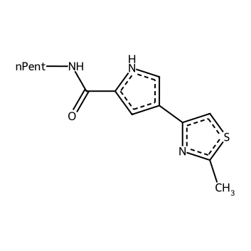 CCCCCNC(=O)c1cc(-c2csc(C)n2)c[nH]1